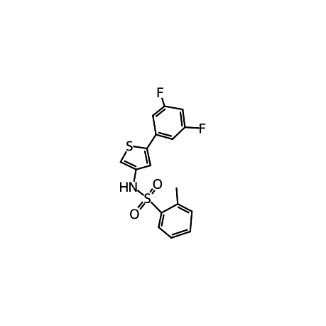 Cc1ccccc1S(=O)(=O)Nc1csc(-c2cc(F)cc(F)c2)c1